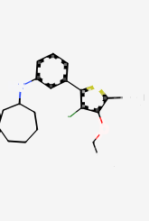 O=C(O)COc1c(C(=O)O)sc(-c2cccc(NC3CCCCCC3)c2)c1Cl